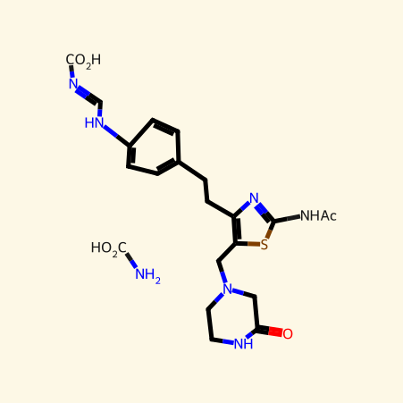 CC(=O)Nc1nc(CCc2ccc(NC=NC(=O)O)cc2)c(CN2CCNC(=O)C2)s1.NC(=O)O